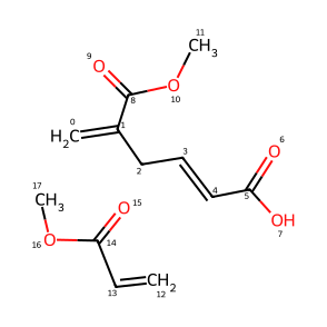 C=C(CC=CC(=O)O)C(=O)OC.C=CC(=O)OC